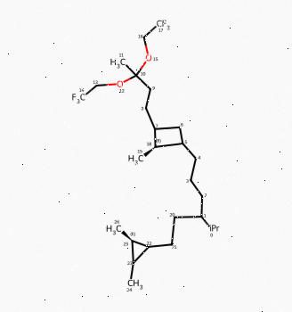 CC(C)C(CCCC1CC(CCC(C)(OCC(F)(F)F)OCC(F)(F)F)[C@@H]1C)CCC1C(C)[C@H]1C